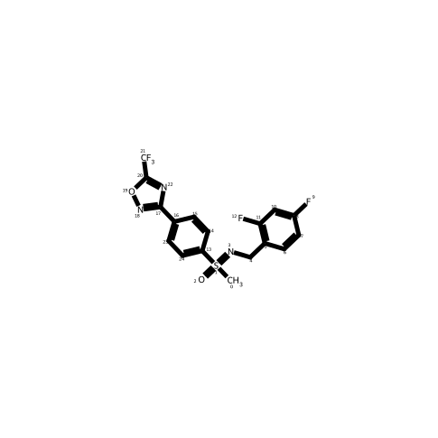 CS(=O)(=NCc1ccc(F)cc1F)c1ccc(-c2noc(C(F)(F)F)n2)cc1